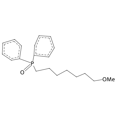 COCCCCCCCP(=O)(c1ccccc1)c1ccccc1